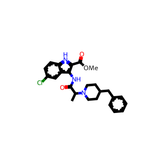 COC(=O)c1[nH]c2ccc(Cl)cc2c1NC(=O)C(C)N1CCC(Cc2ccccc2)CC1